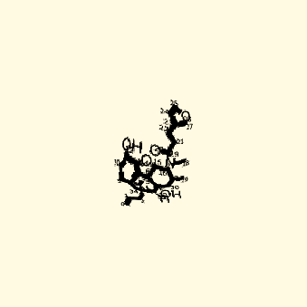 C=CCN1CC[C@]23c4c5ccc(O)c4OC2C(N(C)C(=O)/C=C/c2ccoc2)C(C)C[C@@]3(O)[C@H]1C5